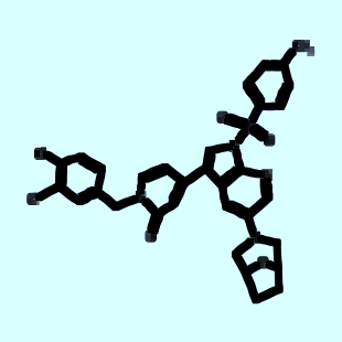 Cc1ccc(S(=O)(=O)n2cc(-c3ccn(Cc4ccc(Cl)c(Cl)c4)c(=O)c3)c3cc(N4CC5CCC(C4)O5)cnc32)cc1